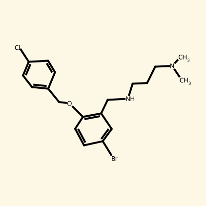 CN(C)CCCNCc1cc(Br)ccc1OCc1ccc(Cl)cc1